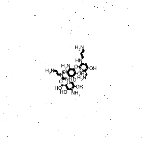 NCCCN[C@@H]1C[C@H](O)[C@@H](CN)O[C@@H]1OC1[C@@H](N)C[C@@H](NC(=O)N(O)CCN)[C@H](O[C@H]2O[C@H](CO)[C@@H](O)[C@H](N)[C@H]2O)[C@H]1O